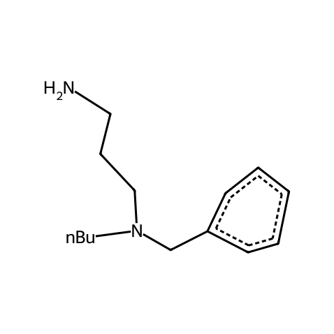 CCCCN(CCCN)Cc1ccccc1